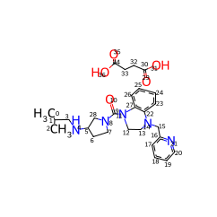 CC(C)CNC1CCN(C(=O)N2CCN(Cc3ccccn3)c3ccccc32)C1.O=C(O)CCC(=O)O